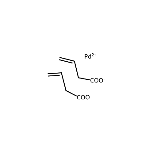 C=CCC(=O)[O-].C=CCC(=O)[O-].[Pd+2]